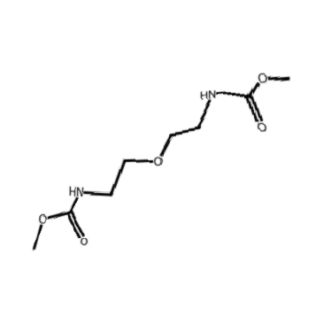 COC(=O)NCCOCCNC(=O)OC